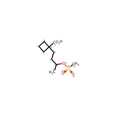 CC(CCC1(C(=O)O)CCC1)OS(C)(=O)=O